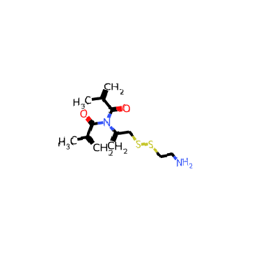 C=C(C)C(=O)N(C(=C)CSSCCN)C(=O)C(=C)C